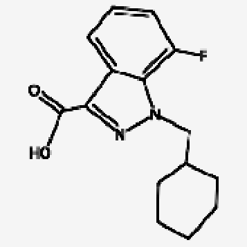 O=C(O)c1nn(CC2CCCCC2)c2c(F)cccc12